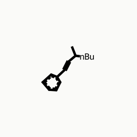 CCCCC(C)C#Cc1ccccc1